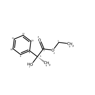 CCOC(=O)[C@@](C)(O)c1ccccc1